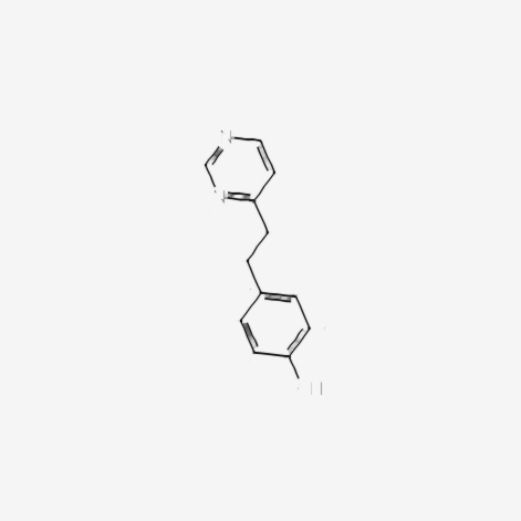 Cc1ccc(CCc2ccncn2)cc1